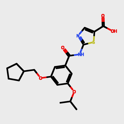 CC(C)Oc1cc(OCC2CCCC2)cc(C(=O)Nc2ncc(C(=O)O)s2)c1